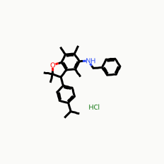 Cc1c(C)c2c(c(C)c1NCc1ccccc1)C(c1ccc(C(C)C)cc1)C(C)(C)O2.Cl